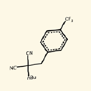 CCCCC(C#N)(C#N)Cc1ccc(C(F)(F)F)cc1